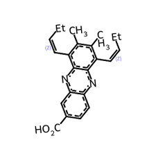 CC/C=C\c1c(C)c(C)c(/C=C\CC)c2nc3cc(C(=O)O)ccc3nc12